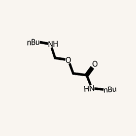 CCCCNCOCC(=O)NCCCC